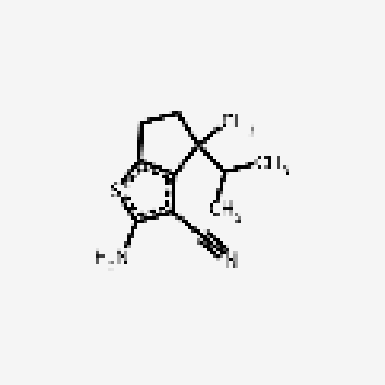 CC(C)C1(C)CCc2sc(N)c(C#N)c21